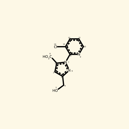 O=C(O)c1cc(CO)nn1-c1ncccc1Cl